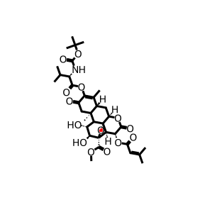 COC(=O)[C@@]12OC[C@]34C([C@@H](O)[C@@H]1O)[C@@]1(C)CC(=O)C(OC(=O)[C@@H](NC(=O)OC(C)(C)C)C(C)C)=C(C)[C@@H]1C[C@H]3OC(=O)[C@H](OC(=O)C=C(C)C)[C@@H]24